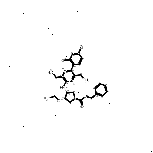 CCO[C@H]1CN(C(=O)OCc2ccccc2)C[C@H]1Nc1nc(CC)c(-c2ccc(Cl)cc2Cl)nc1CC